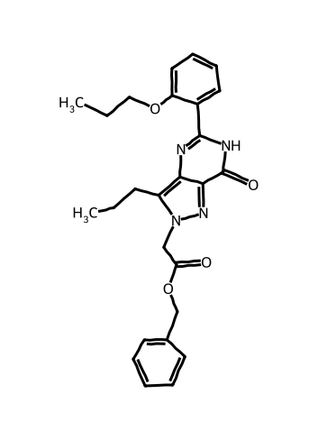 CCCOc1ccccc1-c1nc2c(CCC)n(CC(=O)OCc3ccccc3)nc2c(=O)[nH]1